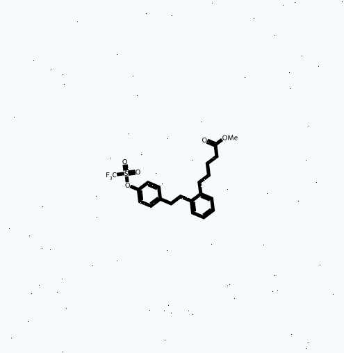 COC(=O)CCCCc1ccccc1CCc1ccc(OS(=O)(=O)C(F)(F)F)cc1